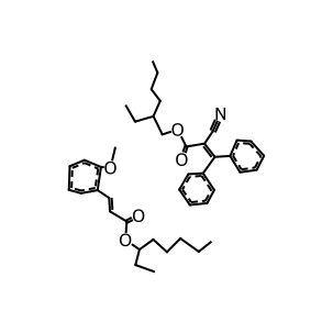 CCCCC(CC)COC(=O)C(C#N)=C(c1ccccc1)c1ccccc1.CCCCCC(CC)OC(=O)/C=C/c1ccccc1OC